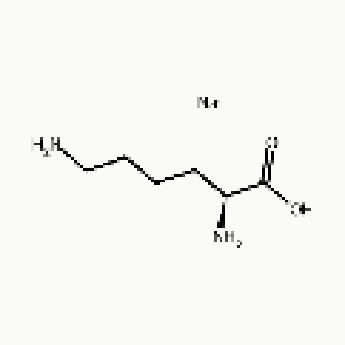 NCCCC[C@H](N)C(=O)O.[Na]